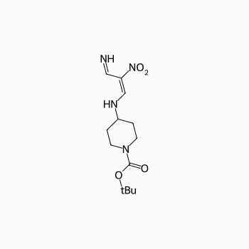 CC(C)(C)OC(=O)N1CCC(N/C=C(\C=N)[N+](=O)[O-])CC1